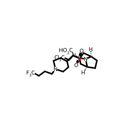 O=C(O)N(CC(Cl)(Cl)Cl)C1C[C@H]2CC[C@@H](C1)N2S(=O)(=O)CC1CCN(CCCC(F)(F)F)CC1